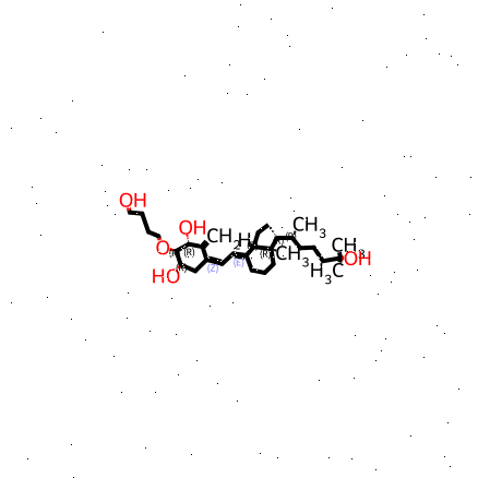 C=C1/C(=C\C=C2/CCC[C@]3(C)[C@@H]([C@H](C)CCCC(C)(C)O)CC[C@@H]23)C[C@@H](O)[C@@H](OCCCCO)[C@@H]1O